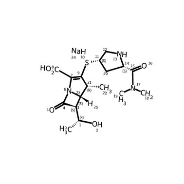 C[C@@H](O)[C@H]1C(=O)N2C(C(=O)O)=C(S[C@@H]3CN[C@H](C(=O)N(C)C)C3)[C@H](C)[C@H]12.[NaH]